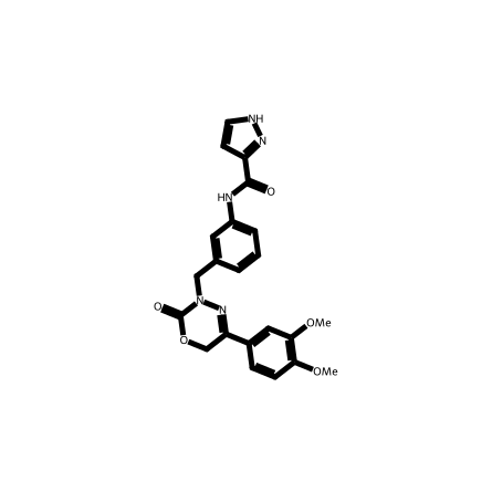 COc1ccc(C2=NN(Cc3cccc(NC(=O)c4cc[nH]n4)c3)C(=O)OC2)cc1OC